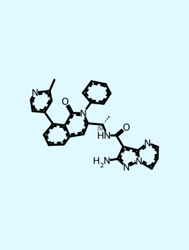 Cc1cc(-c2cccc3cc([C@H](C)NC(=O)c4c(N)nn5cccnc45)n(-c4ccccc4)c(=O)c23)ccn1